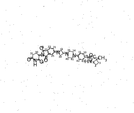 CC1(C)CC[C@@H]1NC(=O)c1ccc(N2CCN(C3CN(c4ccc5c(c4)C(=O)N(C4CCC(=O)NC4=O)C5=O)C3)CC2)cc1